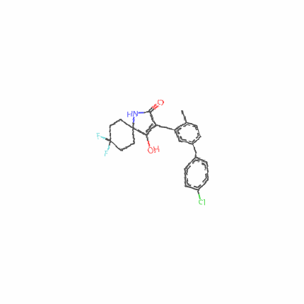 Cc1ccc(-c2ccc(Cl)cc2)cc1C1=C(O)C2(CCC(F)(F)CC2)NC1=O